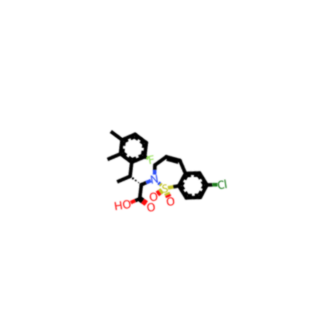 Cc1ccc(F)c(C(C)[C@@H](C(=O)O)N2CC=Cc3cc(Cl)ccc3S2(=O)=O)c1C